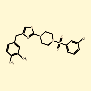 Cc1ccc(Cc2csc(N3CCN(S(=O)(=O)c4cccc(Cl)c4)CC3)n2)cc1C